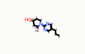 CCCc1cnc(N2CCC(O)CC2I)nc1